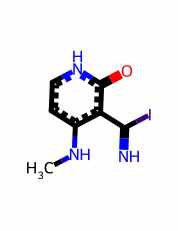 CNc1cc[nH]c(=O)c1C(=N)I